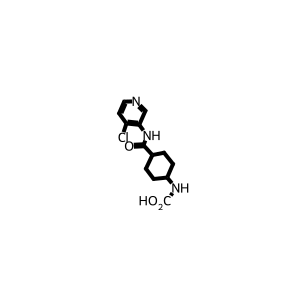 O=C(O)NC1CCC(C(=O)Nc2cnccc2Cl)CC1